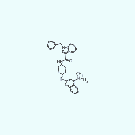 CN(C)c1cc(N[C@H]2CC[C@@H](NC(=O)c3cn(Cc4ccccc4)c4ccccc34)CC2)nc2ccccc12